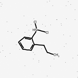 CCCc1ccccc1[SiH](Cl)Cl